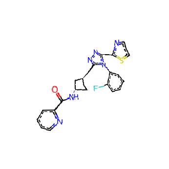 O=C(N[C@H]1C[C@H](c2nnc(-c3nccs3)n2-c2ccccc2F)C1)c1ccccn1